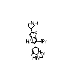 CC1=CC(c2[nH]c3cc(C4CCNC4)sc3c2C(C)C)=CN2N=CNC12